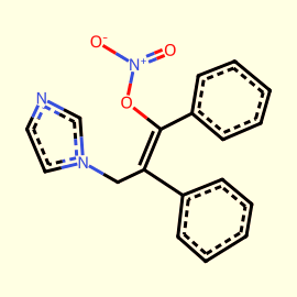 O=[N+]([O-])O/C(=C(\Cn1ccnc1)c1ccccc1)c1ccccc1